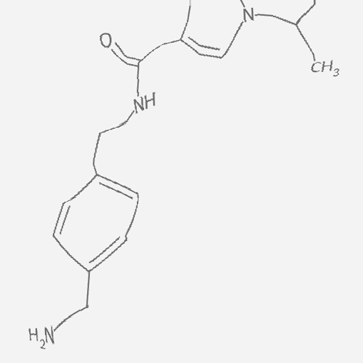 CC(C)n1cnc(C(=O)NCc2ccc(CN)cc2)c1